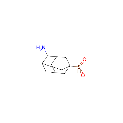 NC1C2CC3CC1CC([SH](=O)=O)(C3)C2